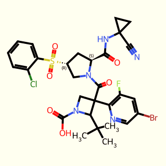 CC(C)(C)C1N(C(=O)O)CC1(C(=O)N1C[C@H](S(=O)(=O)c2ccccc2Cl)C[C@H]1C(=O)NC1(C#N)CC1)c1ncc(Br)cc1F